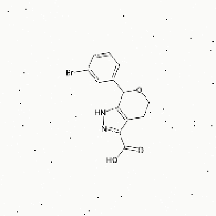 O=C(O)c1n[nH]c2c1CCOC2c1cccc(Br)c1